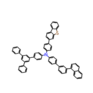 c1ccc(-c2cc(-c3ccccc3)cc(-c3ccc(N(c4ccc(-c5cccc(-c6cccc7ccccc67)c5)cc4)c4ccc(-c5ccc6c(c5)sc5ccccc56)cc4)cc3)c2)cc1